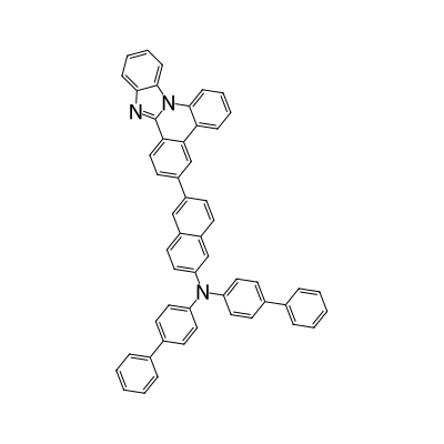 c1ccc(-c2ccc(N(c3ccc(-c4ccccc4)cc3)c3ccc4cc(-c5ccc6c(c5)c5ccccc5n5c7ccccc7nc65)ccc4c3)cc2)cc1